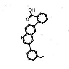 O=C(O)c1ccccc1-c1ccc2ncc(-c3cccc(F)c3)cc2c1